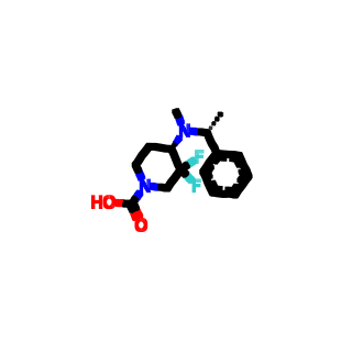 C[C@H](c1ccccc1)N(C)[C@@H]1CCN(C(=O)O)CC1(F)F